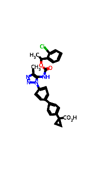 Cc1nnn(-c2ccc(-c3ccc(C4(C(=O)O)CC4)cc3)cc2)c1NC(=O)OC(C)c1ccccc1Cl